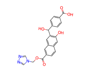 O=C(O)c1ccc(C(O)c2cc3cc(C(=O)OCn4cnnc4)ccc3cc2O)cc1